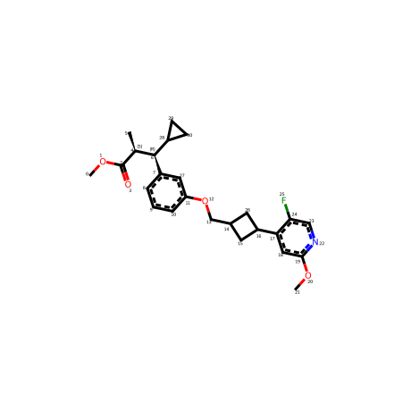 COC(=O)[C@@H](C)[C@H](c1cccc(OCC2CC(c3cc(OC)ncc3F)C2)c1)C1CC1